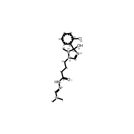 CN(C)C=NNC(=O)CCCN1C=NC(O)(c2ccccc2Cl)N1C